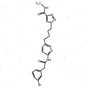 CNC(=O)c1cn(CCCCc2ccc(NC(=O)Cc3cccc(Br)c3)nn2)nn1